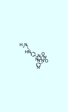 Cn1c(=O)c2nc(-c3ccc(NCCCN)cc3)nnc2n(Cc2cccnc2)c1=O